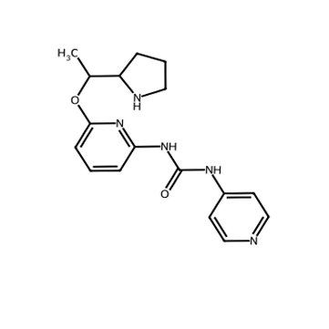 CC(Oc1cccc(NC(=O)Nc2ccncc2)n1)C1CCCN1